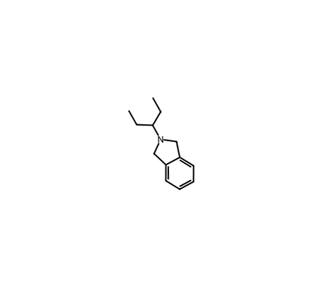 CCC(CC)N1Cc2ccccc2C1